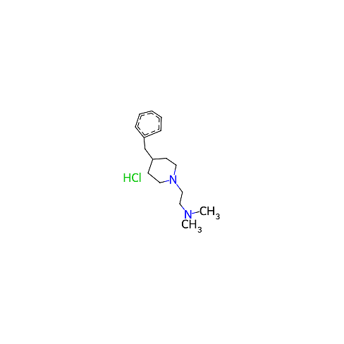 CN(C)CCN1CCC(Cc2ccccc2)CC1.Cl